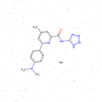 Cc1cc(C(=O)Nc2nnn[nH]2)nc(-c2ccc(N(C)C)cc2)c1.[Na]